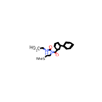 CSCCN(C(=O)NCC(=O)O)C(=O)c1cccc(-c2ccccc2)c1